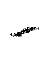 COc1ccc(C2CCC(C(=O)Oc3ccc(-c4ccc(CO)cc4)c(F)c3F)CC2)c(F)c1F